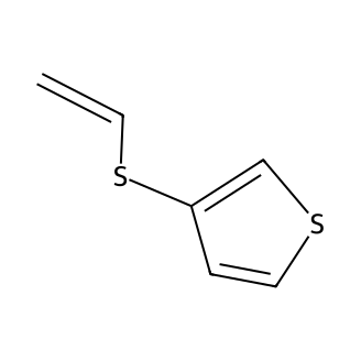 C=CSc1ccsc1